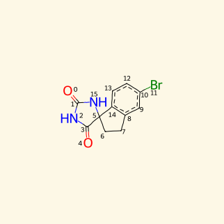 O=C1NC(=O)C2(CCc3cc(Br)ccc32)N1